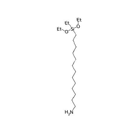 CCO[Si](CC)(CCCCCCCCCCCCCN)OCC